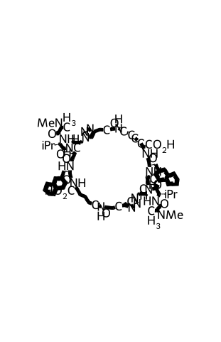 CN[C@@H](C)C(=O)N[C@H](C(=O)N1C[C@@H]2C[C@H]1C(=O)N[C@@H](Cc1ccc3ccccc3c1)C(=O)N[C@H](C(=O)O)CCCCNC(=O)CCc1cn(nn1)[C@H]1C[C@@H](C(=O)N[C@@H](Cc3ccc4ccccc4c3)C(=O)N[C@H](C(=O)O)CCCCNC(=O)CCc3cn2nn3)N(C(=O)[C@@H](NC(=O)[C@H](C)NC)C(C)C)C1)C(C)C